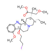 CC[C@@H]1CN2CC[C@@]3(OCCCI)C(=Nc4cccc(OC)c43)[C@@H]2C[C@@H]1C(C)(COC)C(=O)OC